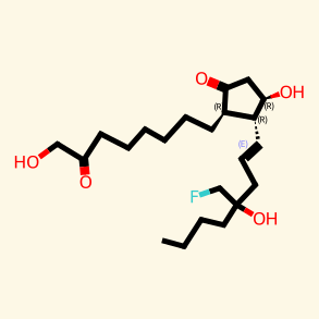 CCCCC(O)(CF)C/C=C/[C@H]1[C@H](O)CC(=O)[C@@H]1CCCCCCC(=O)CO